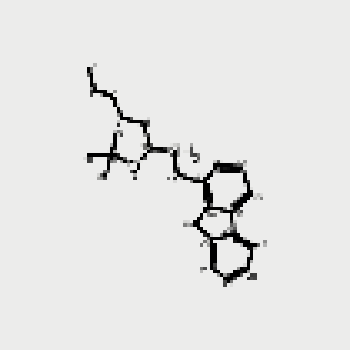 CCCCCC(OC(C)(C)C)[SiH2]Cc1cccc2c1Cc1ccccc1-2